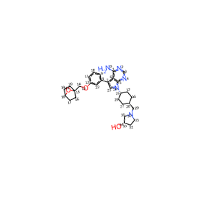 Nc1ncnc2c1c(-c1cccc(OCC34CCC(CC3)O4)c1)cn2[C@H]1CC[C@H](CN2CC[C@H](O)C2)CC1